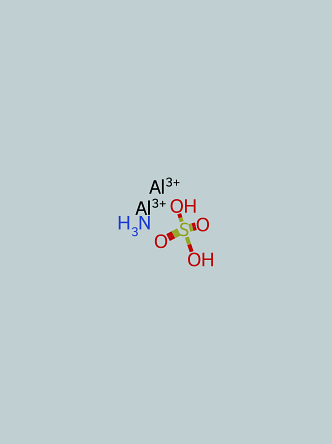 N.O=S(=O)(O)O.[Al+3].[Al+3]